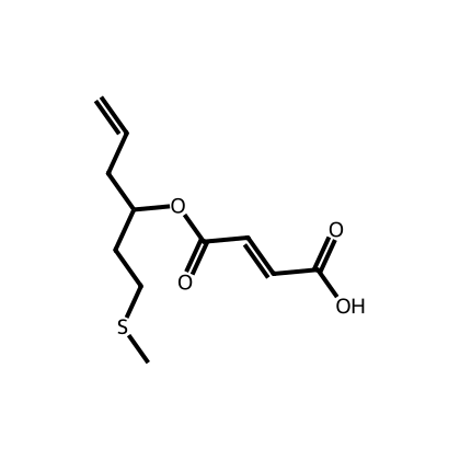 C=CCC(CCSC)OC(=O)C=CC(=O)O